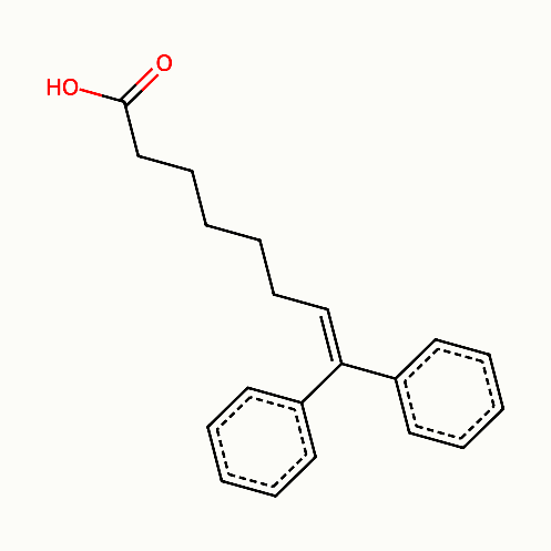 O=C(O)CCCCCC=C(c1ccccc1)c1ccccc1